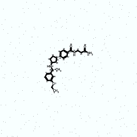 CCOc1cccc([C@@H](C)NC2CC[C@H](c3ccc(C(=O)NCCC(N)=O)cc3)C2)c1